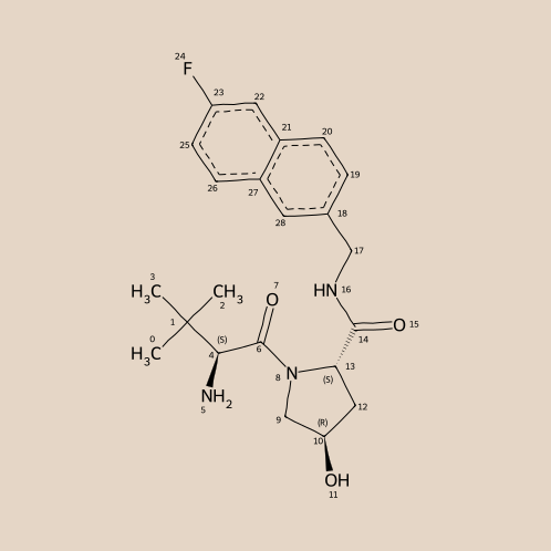 CC(C)(C)[C@H](N)C(=O)N1C[C@H](O)C[C@H]1C(=O)NCc1ccc2cc(F)ccc2c1